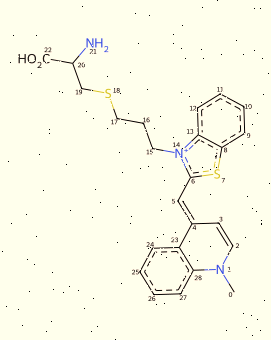 CN1C=CC(=Cc2sc3ccccc3[n+]2CCCSCC(N)C(=O)O)c2ccccc21